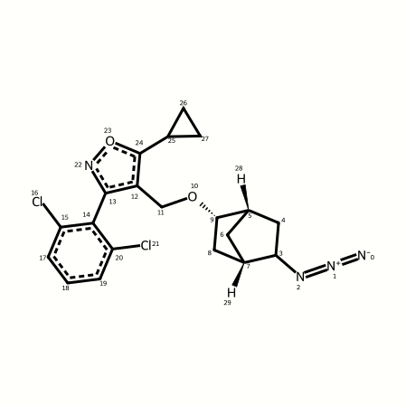 [N-]=[N+]=NC1C[C@@H]2C[C@H]1C[C@@H]2OCc1c(-c2c(Cl)cccc2Cl)noc1C1CC1